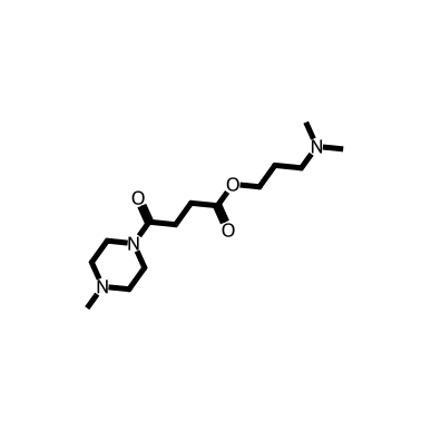 CN(C)CCCOC(=O)CCC(=O)N1CCN(C)CC1